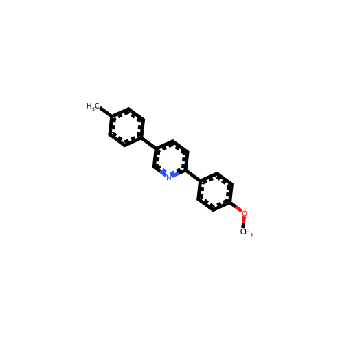 COc1ccc(-c2ccc(-c3ccc(C)cc3)cn2)cc1